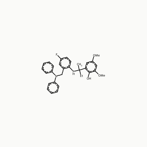 CCC(C)(Pc1ccc(F)cc1CN(c1ccccc1)c1ccccc1)c1cc(OC)cc(OC)c1O